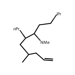 C=CCC(C)CC(CCC)C(CCC(C)C)NC